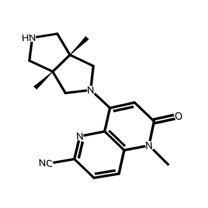 Cn1c(=O)cc(N2C[C@]3(C)CNC[C@]3(C)C2)c2nc(C#N)ccc21